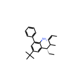 C/C=C\C(C)[C@H](CC)c1cc(C(C)(C)C)cc(-c2ccccc2)c1N